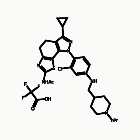 CCCN1CCC(CNc2ccc(-n3nc(C4CC4)c4c3-c3sc(NC(C)=O)nc3CC4)c(Cl)c2)CC1.O=C(O)C(F)(F)F